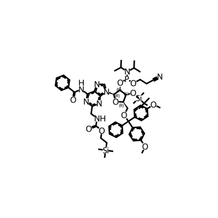 COc1ccc(C(OC[C@H]2O[C@@H](n3cnc4c(NC(=O)c5ccccc5)nc(CNC(=O)OCC[Si](C)(C)C)nc43)[C@H](OP(OCCC#N)N(C(C)C)C(C)C)[C@H]2O[Si](C)(C)C(C)(C)C)(c2ccccc2)c2ccc(OC)cc2)cc1